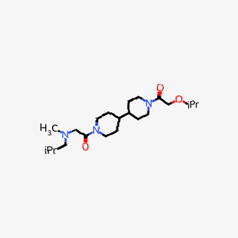 CC(C)CN(C)CC(=O)N1CCC(C2CCN(C(=O)COC(C)C)CC2)CC1